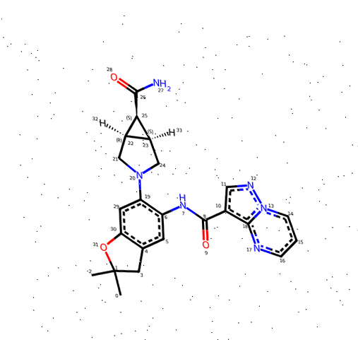 CC1(C)Cc2cc(NC(=O)c3cnn4cccnc34)c(N3C[C@@H]4[C@H](C3)[C@@H]4C(N)=O)cc2O1